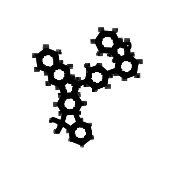 CC1(C)c2ccccc2-c2cc3c(cc21)c1cc2ccccc2cc1n3-c1ccc(-c2cccc3oc4ccccc4c23)cn1